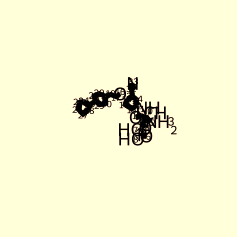 C[C@](N)(COP(=O)(O)O)C(=O)Nc1ccc(OCCc2ccc(-c3ccccc3)cc2)c(C#N)c1